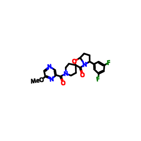 COc1cncc(C(=O)N2CCC3(CC2)OC2CCC(c4cc(F)cc(F)c4)N2C3=O)n1